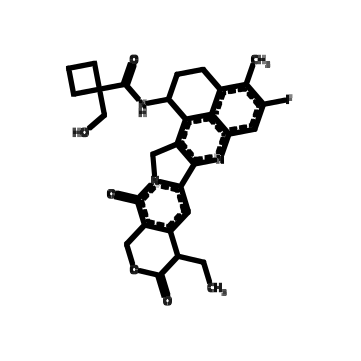 CCC1C(=O)OCc2c1cc1n(c2=O)Cc2c-1nc1cc(F)c(C)c3c1c2C(NC(=O)C1(CO)CCC1)CC3